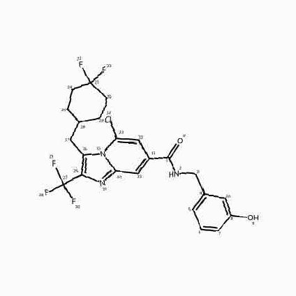 O=C(NCc1cccc(O)c1)c1cc(Cl)n2c(CC3CCC(F)(F)CC3)c(C(F)(F)F)nc2c1